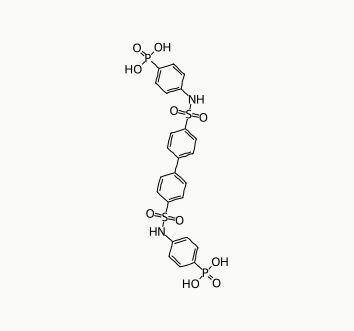 O=P(O)(O)c1ccc(NS(=O)(=O)c2ccc(-c3ccc(S(=O)(=O)Nc4ccc(P(=O)(O)O)cc4)cc3)cc2)cc1